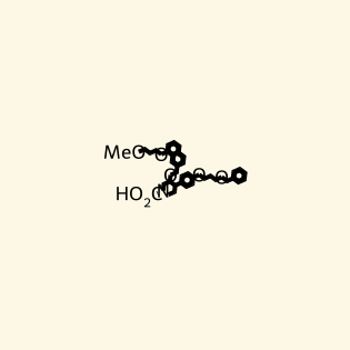 COCCCOc1cccc2ccc(COC3CN(C(=O)O)CCC3c3ccc(OCCCOCc4ccccc4)cc3)cc12